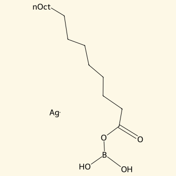 CCCCCCCCCCCCCCCC(=O)OB(O)O.[Ag]